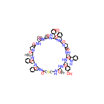 CCCC[C@H]1C(=O)N2CCC[C@@H]2C(=O)N[C@@H](CC(=O)O)C(=O)N[C@@H](C(C)C)C(=O)N[C@@](C)(Cc2ccccc2)C(=O)N[C@@H](Cc2ccc(O)cc2)C(=O)N2CCC[C@@H]2C(=O)N[C@@H](Cc2c[nH]c3ccccc23)C(=O)N[C@@H](Cc2ccc(O)cc2)C(=O)N[C@@H](CC(C)C)C(=O)N[C@H](C)CSCC(=O)N[C@@H](Cc2ccccc2)C(=O)N(C)[C@@H](Cc2ccccc2)C(=O)N1C